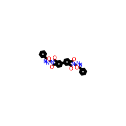 O=C1c2ccc(-c3ccc4c(c3)C(=O)N(c3nnc(-c5ccccc5)o3)C4=O)cc2C(=O)N1c1nnc(-c2ccccc2)o1